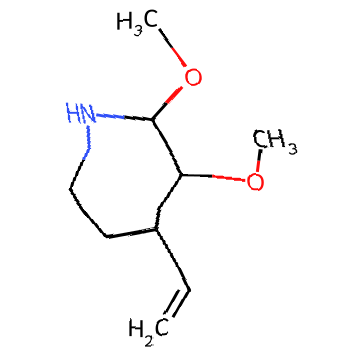 C=CC1CCNC(OC)C1OC